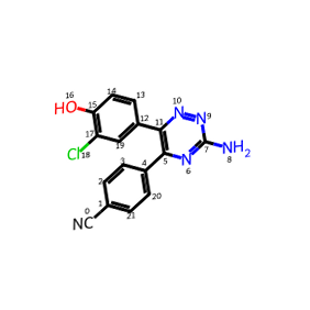 N#Cc1ccc(-c2nc(N)nnc2-c2ccc(O)c(Cl)c2)cc1